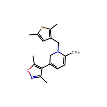 COC1=CC=C(c2c(C)noc2C)CN1Cc1cc(C)sc1C